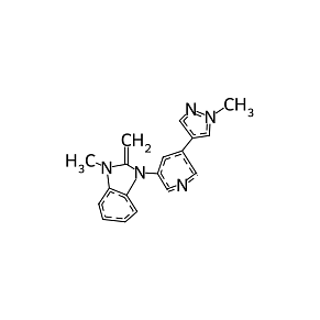 C=C1N(C)c2ccccc2N1c1cncc(-c2cnn(C)c2)c1